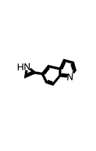 C1=C(c2ccc3ncccc3c2)N1